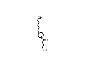 CCCCC(=O)N1CCN(CCCCCO)CC1